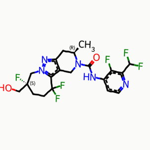 C[C@@H]1Cc2nn3c(c2CN1C(=O)Nc1ccnc(C(F)F)c1F)C(F)(F)CC[C@@](F)(CO)C3